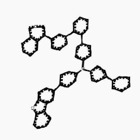 c1ccc(-c2ccc(N(c3ccc(-c4ccc5oc6ccccc6c5c4)cc3)c3ccc(-c4ccccc4-c4cccc(-c5cccc6ccccc56)c4)cc3)cc2)cc1